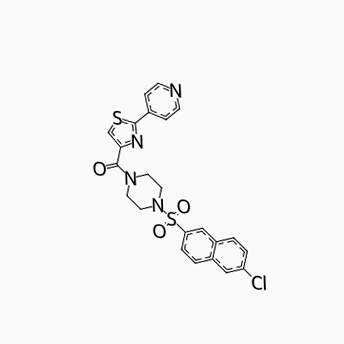 O=C(c1csc(-c2ccncc2)n1)N1CCN(S(=O)(=O)c2ccc3cc(Cl)ccc3c2)CC1